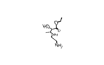 CCOC(=O)C(O)C(C)NCCN